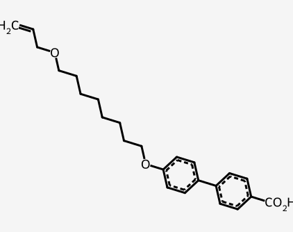 C=CCOCCCCCCCCOc1ccc(-c2ccc(C(=O)O)cc2)cc1